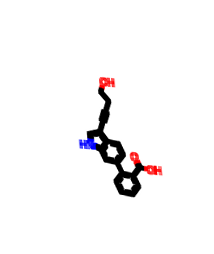 O=C(O)c1ccccc1-c1ccc2c(C#CCCO)c[nH]c2c1